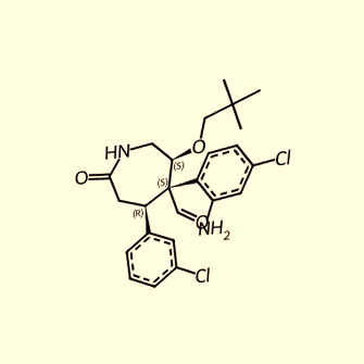 CC(C)(C)CO[C@@H]1CNC(=O)C[C@H](c2cccc(Cl)c2)[C@]1(C=O)c1ccc(Cl)cc1N